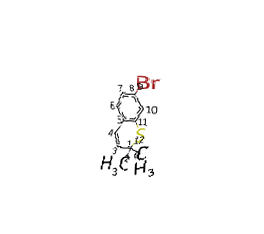 CC1(C)C=Cc2ccc(Br)cc2S1